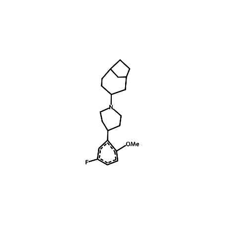 COc1ccc(F)cc1C1CCN(C2CCC3CCC(C3)C2)CC1